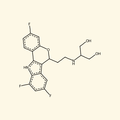 OCC(CO)NCCC1Oc2cc(F)ccc2-c2[nH]c3c(F)cc(F)cc3c21